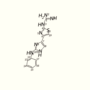 N=C(N)Nc1nc(-c2c[nH]c(Nc3ccccc3)n2)cs1